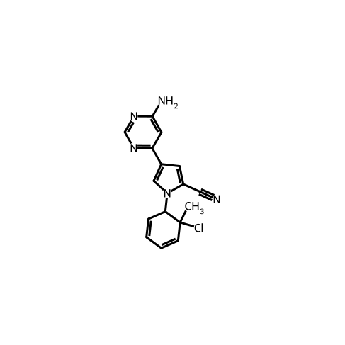 CC1(Cl)C=CC=CC1n1cc(-c2cc(N)ncn2)cc1C#N